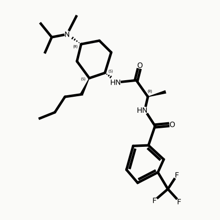 CCCC[C@H]1C[C@H](N(C)C(C)C)CC[C@@H]1NC(=O)[C@@H](C)NC(=O)c1cccc(C(F)(F)F)c1